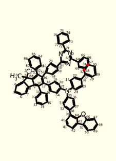 CC1(C)c2ccccc2-c2c(-c3ccccc3)c(-c3ccc(N(c4ccc(-c5ccccc5)cc4)c4ccc(-c5cccc6c5oc5ccccc56)cc4)cc3)c(-c3ccc(-c4nc(-c5ccccc5)nc(-c5ccccc5)n4)cc3)c(-c3ccccc3)c21